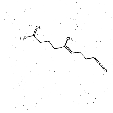 C=C(C)CCC/C(C)=C/CCC=C=O